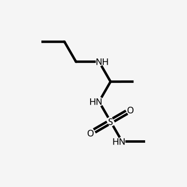 CCCNC(C)NS(=O)(=O)NC